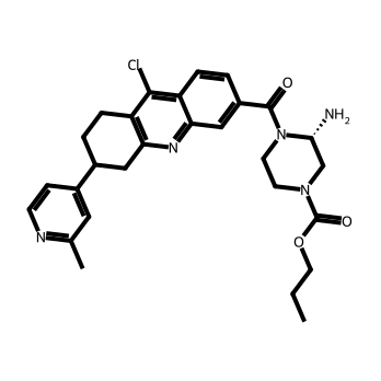 CCCOC(=O)N1CCN(C(=O)c2ccc3c(Cl)c4c(nc3c2)CC(c2ccnc(C)c2)CC4)[C@H](N)C1